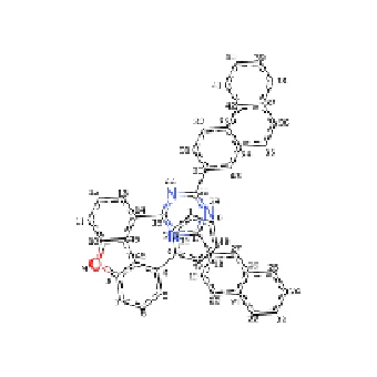 c1ccc(-c2cccc3oc4cccc(-c5nc(-c6ccc7ccccc7c6)nc(-c6ccc7c(ccc8ccccc87)c6)n5)c4c23)cc1